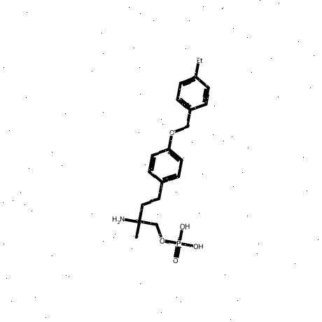 CCc1ccc(COc2ccc(CCC(C)(N)COP(=O)(O)O)cc2)cc1